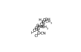 Cc1c(NC(=O)COc2ccc(CI)cc2C(=O)c2cc(Cl)cc(C#N)c2)ccc(OCC(C)(C)O)c1F